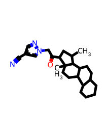 CC1CC(C(=O)Cn2cc(C#N)cn2)C2(C)CCC3C4CCCCC4CCC3C12